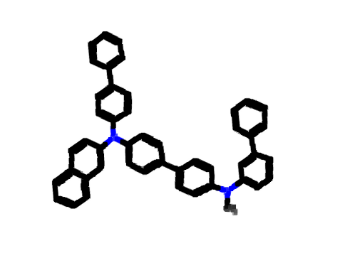 CN(c1ccc(-c2ccc(N(c3ccc(-c4ccccc4)cc3)c3ccc4ccccc4c3)cc2)cc1)c1cccc(-c2ccccc2)c1